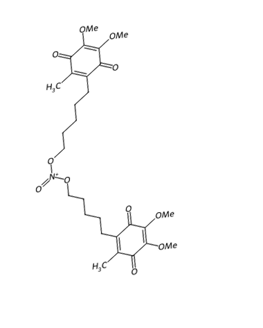 COC1=C(OC)C(=O)C(CCCCCO[N+](=O)OCCCCCC2=C(C)C(=O)C(OC)=C(OC)C2=O)=C(C)C1=O